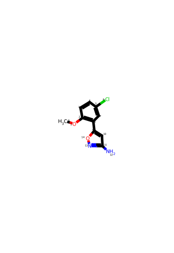 COc1ccc(Cl)cc1-c1cc(N)no1